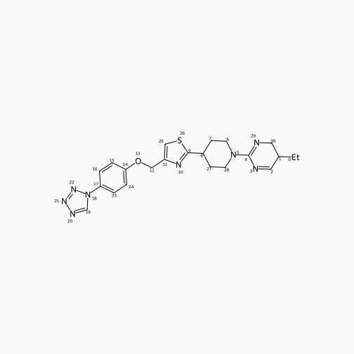 CCC1C=NC(N2CCC(c3nc(COc4ccc(-n5cnnn5)cc4)cs3)CC2)=NC1